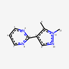 Cc1c(-c2ncccn2)cnn1C